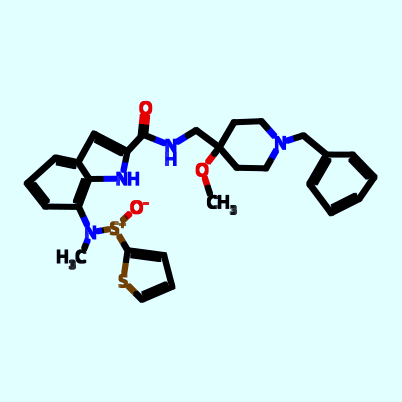 COC1(CNC(=O)c2cc3cccc(N(C)[S+]([O-])c4cccs4)c3[nH]2)CCN(Cc2ccccc2)CC1